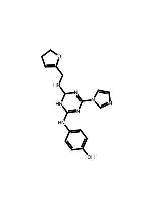 Oc1ccc(NC2=NC(n3ccnc3)=NC(NCC3=CCCO3)N2)cc1